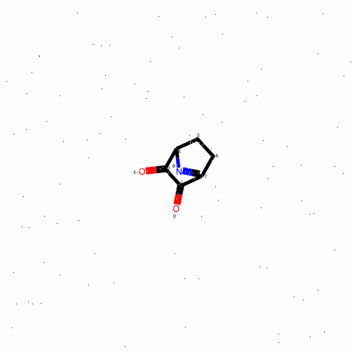 O=C1C(=O)C2CCC1=N2